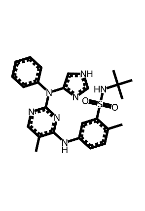 Cc1ccc(Nc2nc(N(c3ccccc3)c3c[nH]cn3)ncc2C)cc1S(=O)(=O)NC(C)(C)C